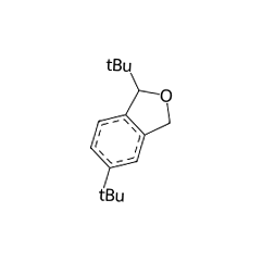 CC(C)(C)c1ccc2c(c1)COC2C(C)(C)C